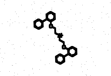 c1ccc(-c2ccccc2OC[CH2][Al][CH2]COc2ccccc2-c2ccccc2)cc1